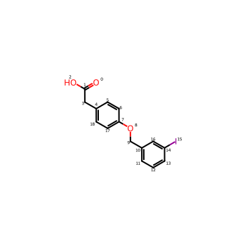 O=C(O)Cc1ccc(OCc2cccc(I)c2)cc1